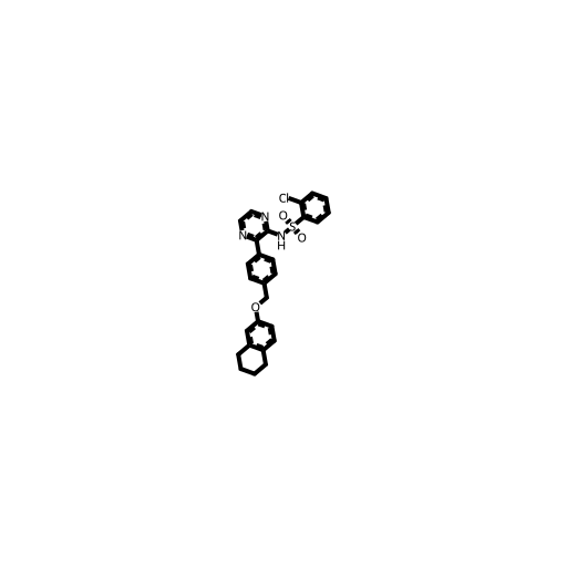 O=S(=O)(Nc1nccnc1-c1ccc(COc2ccc3c(c2)CCCC3)cc1)c1ccccc1Cl